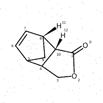 O=C1OCC2C3C=C[C@@H](C3)[C@H]12